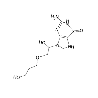 Nc1nc2c(c(=O)[nH]1)NCN2C(O)COCCCO